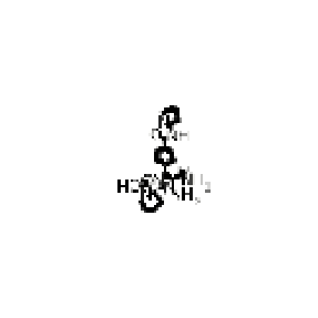 NC(=O)c1c(-c2ccc(C(=O)Nc3ccccn3)cc2)nc([C@@H]2CCCCN2C(=O)O)n1N